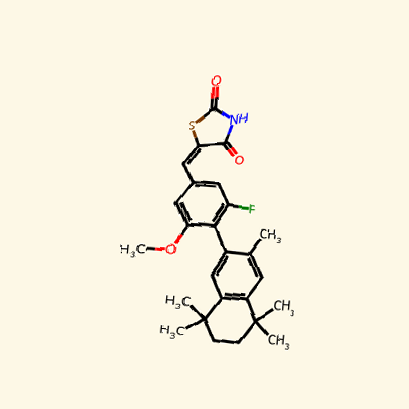 COc1cc(C=C2SC(=O)NC2=O)cc(F)c1-c1cc2c(cc1C)C(C)(C)CCC2(C)C